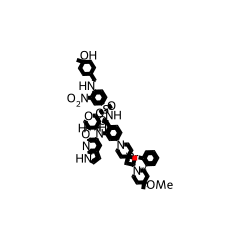 CO[C@@]1(C)CCN(C2CC3(CCN(c4ccc(C(=O)NS(=O)(=O)c5ccc(NCC6CCC(C)(O)CC6)c([N+](=O)[O-])c5)c(N5c6cc7cc[nH]c7nc6O[C@H]6COCC[C@@H]65)c4)CC3)C2)[C@H](c2ccccc2C(C)C)C1